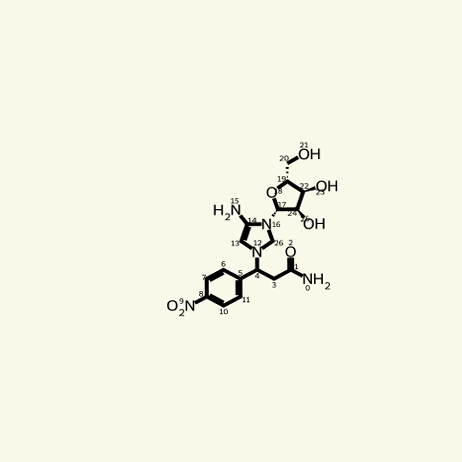 NC(=O)CC(c1ccc([N+](=O)[O-])cc1)N1C=C(N)N([C@@H]2O[C@H](CO)[C@@H](O)[C@H]2O)C1